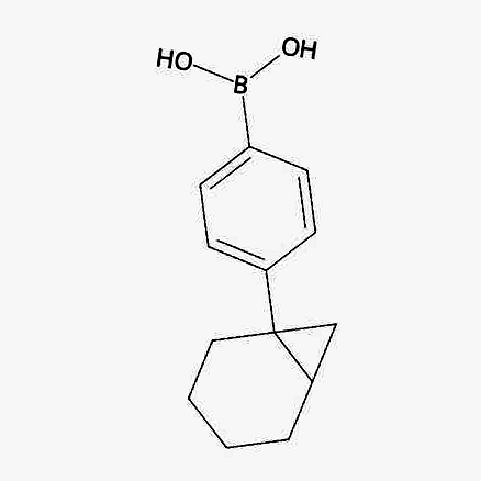 OB(O)c1ccc(C23CCCCC2C3)cc1